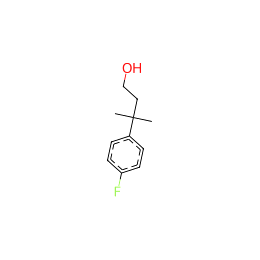 CC(C)(CCO)c1ccc(F)cc1